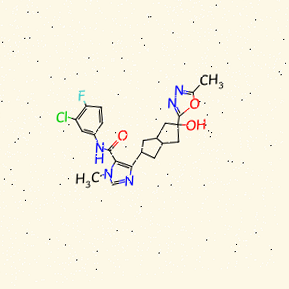 Cc1nnc(C2(O)CC3CC(c4ncn(C)c4C(=O)Nc4ccc(F)c(Cl)c4)CC3C2)o1